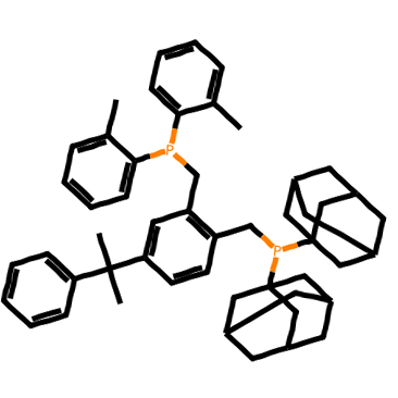 Cc1ccccc1P(Cc1cc(C(C)(C)c2ccccc2)ccc1CP(C12CC3CC(CC(C3)C1)C2)C12CC3CC(CC(C3)C1)C2)c1ccccc1C